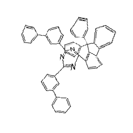 c1ccc(-c2cccc(-c3nc(-c4cccc(-c5ccccc5)c4)nc(-c4cccc5c4C(c4ccccc4)(c4ccccc4)c4ccccc4-5)n3)c2)cc1